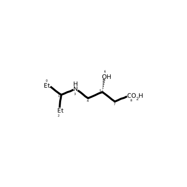 CCC(CC)NC[C@H](O)CC(=O)O